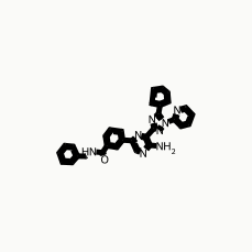 Nc1ncc(-c2cccc(C(=O)NCc3ccccc3)c2)nc1-c1nc(-c2ccccc2)n(-c2ccccn2)n1